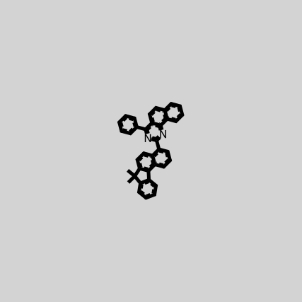 CC1(C)c2ccccc2-c2c1ccc1c(-c3nc(-c4ccccc4)c4ccc5ccccc5c4n3)cccc21